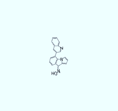 O/N=C1\c2cccc(-c3cnc4ccccc4c3)c2-n2cccc21